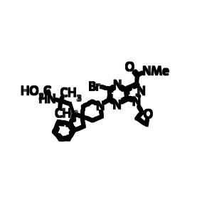 CNC(=O)c1nn(C2CCO2)c2nc(N3CCC4(CC3)Cc3ccccc3[C@H]4CC(C)(C)NC(=O)O)c(Br)nc12